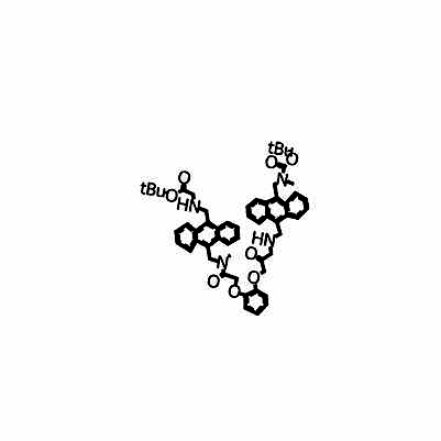 CN(Cc1c2ccccc2c(CNCC(=O)OC(C)(C)C)c2ccccc12)C(=O)COc1ccccc1OCC(=O)CNCc1c2ccccc2c(CN(C)C(=O)OC(C)(C)C)c2ccccc12